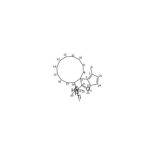 CC1=C(C2(C(=O)[NH][Ti])CCCCCCCCCCC2[SiH](C)C)C(C)C=C1